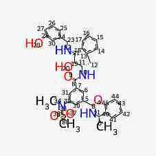 C[C@@H](NC(=O)c1cc(C(=O)N[C@@H](Cc2ccccc2)[C@H](O)CNCc2cccc(O)c2)cc(N(C)S(C)(=O)=O)c1)c1ccccc1